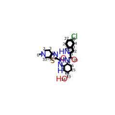 CN1CCc2nc(C(=O)NC3C[C@@H](CO)CCC3NC(=O)c3cc4cc(Cl)ccc4[nH]3)sc2C1